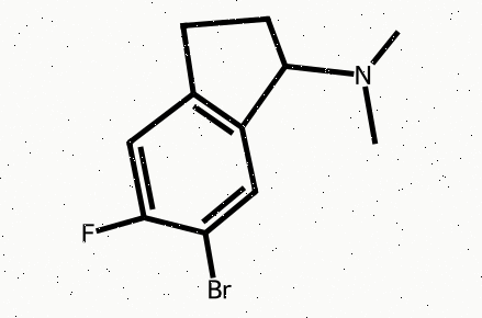 CN(C)C1CCc2cc(F)c(Br)cc21